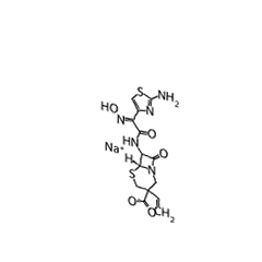 C=CC1(C(=O)[O-])CS[C@@H]2C(NC(=O)C(=NO)c3csc(N)n3)C(=O)N2C1.[Na+]